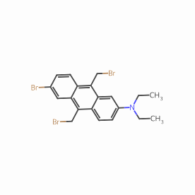 CCN(CC)c1ccc2c(CBr)c3cc(Br)ccc3c(CBr)c2c1